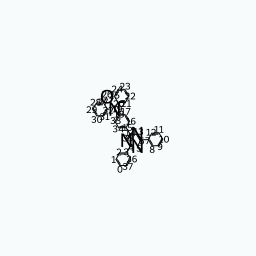 c1ccc(-c2nc(-c3ccccc3)nc(-c3ccc(N4c5ccccc5Oc5ccccc54)cc3)n2)cc1